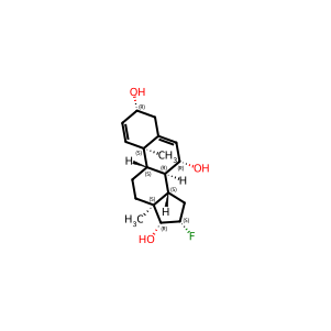 C[C@]12CC[C@H]3[C@@H]([C@@H](O)C=C4C[C@@H](O)C=C[C@@]43C)[C@@H]1C[C@H](F)[C@@H]2O